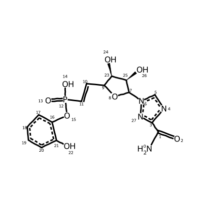 NC(=O)c1ncn(C2OC(/C=C/P(=O)(O)Oc3ccccc3O)[C@@H](O)[C@H]2O)n1